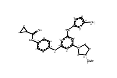 CO[C@H]1CCN(c2cc(Nc3ncc(C)s3)nc(Sc3ccc(NC(=O)C4CC4)cc3)n2)C1